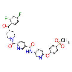 CS(=O)(=O)c1ccc(Oc2ccc(NC(=O)c3ccc(C(=O)N4CCC(C(=O)c5ccc(F)cc5F)CC4)nc3)cn2)cc1